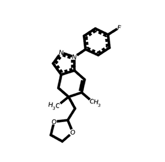 CC1=Cc2c(cnn2-c2ccc(F)cc2)CC1(C)CC1OCCO1